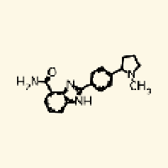 CN1CCCC1c1ccc(-c2nc3c(C(N)=O)cccc3[nH]2)cc1